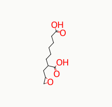 O=C(O)CCCCCC(CC1CO1)C(=O)O